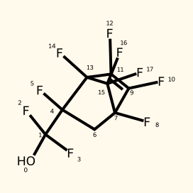 OC(F)(F)C1(F)CC2(F)C(F)=C(F)C1(F)C2(F)F